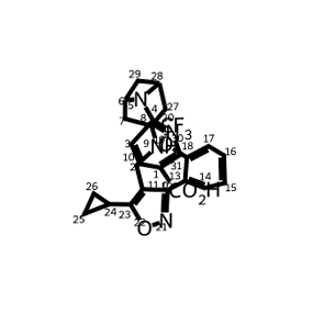 O=C(O)c1ccc(N2C3CC(NCc4c(-c5ccccc5OC(F)(F)F)noc4C4CC4)CC2C3)nc1